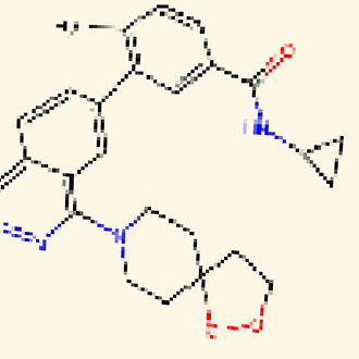 Cc1ccc(C(=O)NC2CC2)cc1-c1ccc2cnnc(N3CCC4(CCOO4)CC3)c2c1